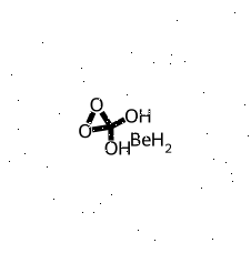 OC1(O)OO1.[BeH2]